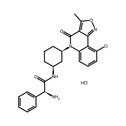 Cc1onc2c1c(=O)n([C@@H]1CCC[C@H](NC(=O)[C@@H](N)c3ccccc3)C1)c1cccc(Cl)c21.Cl